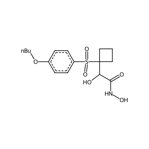 CCCCOc1ccc(S(=O)(=O)C2(C(O)C(=O)NO)CCC2)cc1